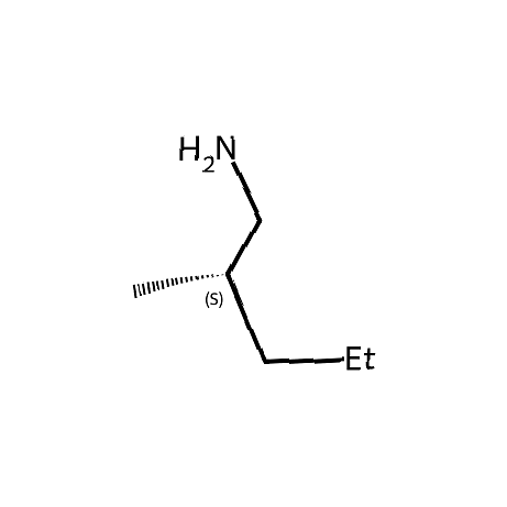 CCC[C@H](C)CN